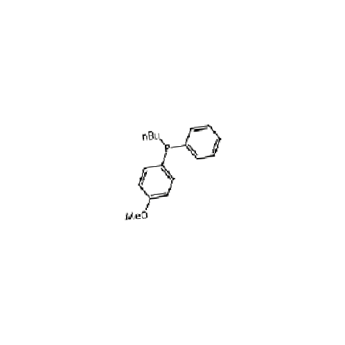 CCCCP(c1ccccc1)c1ccc(OC)cc1